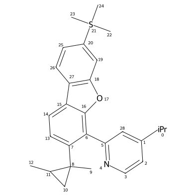 CC(C)c1ccnc(-c2c(C3(C)CC3C)ccc3c2oc2cc(S(C)(C)C)ccc23)c1